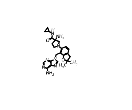 CC1(C)Cc2ccc(N3CCC(N)(C(=O)NC4CC4)C3)c(Cn3cnc4c(N)ncnc43)c2O1